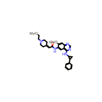 COCCN1CCC(=CC(=O)Nc2cc3c(NC4CC4c4ccccc4)ncnc3cc2OC)CC1